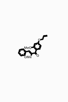 C=CCOc1ccc(C(=O)C(=Cc2ccccc2)OC)c(OC)c1